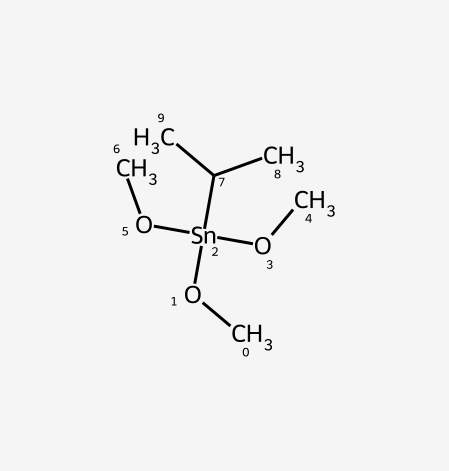 C[O][Sn]([O]C)([O]C)[CH](C)C